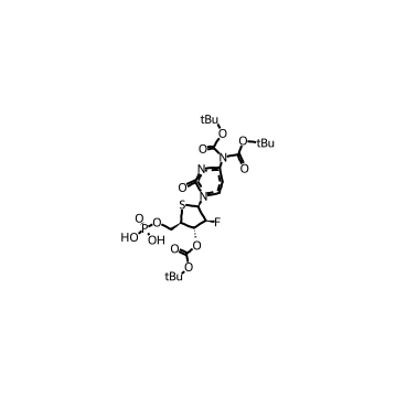 CC(C)(C)OC(=O)O[C@H]1[C@H](F)[C@H](n2ccc(N(C(=O)OC(C)(C)C)C(=O)OC(C)(C)C)nc2=O)S[C@@H]1COP(=O)(O)O